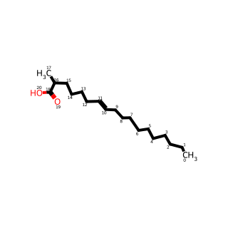 CCCCCCCCCC/C=C/CCCCC(C)C(=O)O